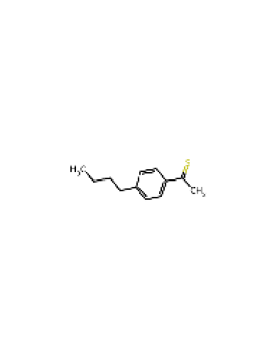 CCCCc1ccc(C(C)=S)cc1